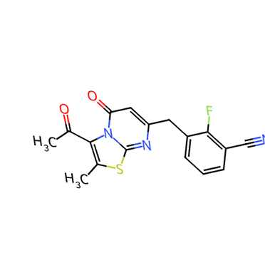 CC(=O)c1c(C)sc2nc(Cc3cccc(C#N)c3F)cc(=O)n12